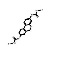 CCNC(=O)Oc1ccc2c(c1)COc1cc(OC(=O)NCC)ccc1-2